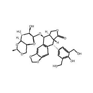 C[C@@H]1OCC2OC(O[C@@H]3c4cc5c(cc4[C@@H](c4cc(CO)c(O)c(CO)c4)[C@H]4C(=O)OC[C@@H]43)OCO5)[C@H](O)[C@@H](O)[C@@H]2O1